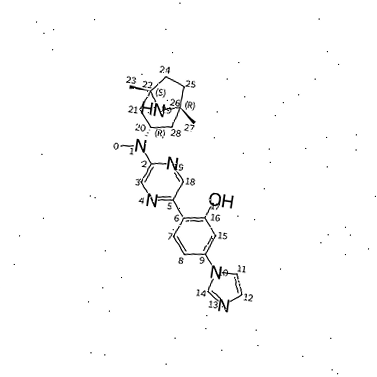 CN(c1cnc(-c2ccc(-n3ccnc3)cc2O)cn1)[C@@H]1C[C@]2(C)CC[C@](C)(C1)N2